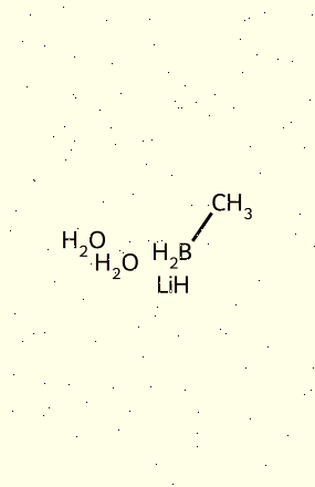 BC.O.O.[LiH]